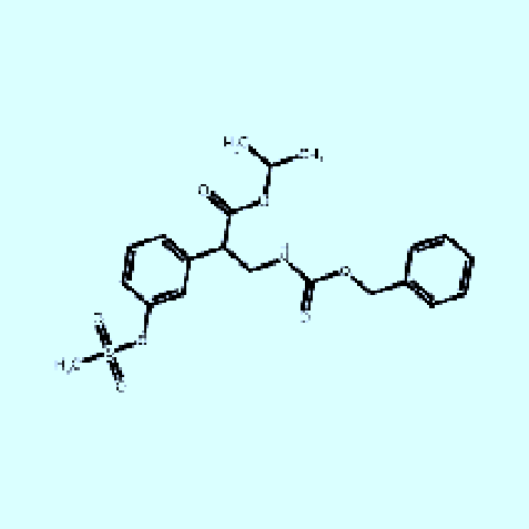 CC(C)OC(=O)C(CNC(=O)OCc1ccccc1)c1cccc(OS(C)(=O)=O)c1